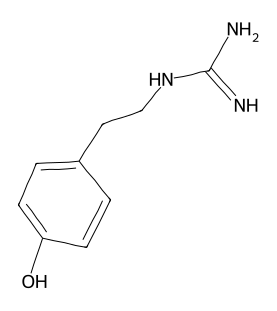 N=C(N)NCCc1ccc(O)cc1